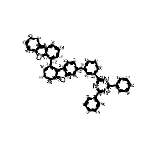 c1ccc(-c2nc(-c3ccccc3)nc(-c3cccc(-c4ccc5c(c4)oc4cccc(-c6cccc7c6oc6ccccc67)c45)c3)n2)cc1